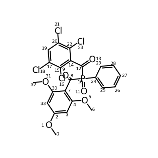 COc1cc(OC)c(C(=O)P(=O)(C(=O)c2c(Cl)c(Cl)cc(Cl)c2Cl)c2ccccc2)c(OC)c1